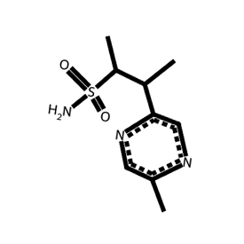 Cc1cnc(C(C)C(C)S(N)(=O)=O)cn1